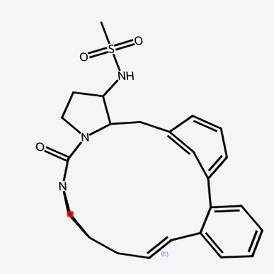 CS(=O)(=O)NC1CCN2C(=O)N3CC(C/C=C/c4ccccc4-c4cccc(c4)CC12)C3